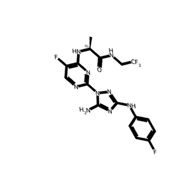 C[C@H](Nc1nc(-n2nc(Nc3ccc(F)cc3)nc2N)ncc1F)C(=O)NCC(F)(F)F